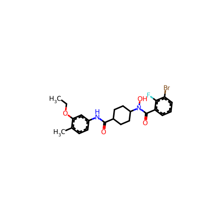 CCOc1cc(NC(=O)C2CCC(N(O)C(=O)c3cccc(Br)c3F)CC2)ccc1C